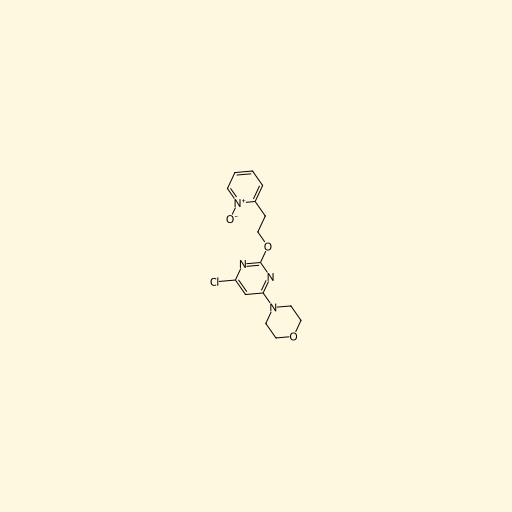 [O-][n+]1ccccc1CCOc1nc(Cl)cc(N2CCOCC2)n1